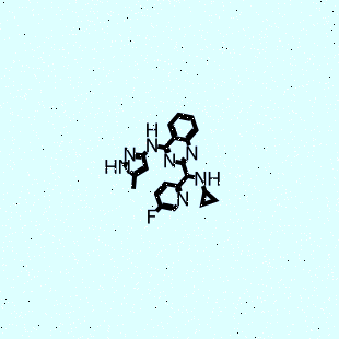 Cc1cc(Nc2nc(C(NC3CC3)c3ccc(F)cn3)nc3ccccc23)n[nH]1